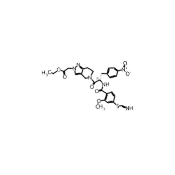 CCOC(=O)Cn1cc2c(n1)CCN(C(=O)[C@H](Cc1ccc([N+](=O)[O-])cc1)NC(=O)c1ccc(SC=N)cc1OC)C2